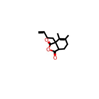 C=CCCC12C(=O)OC(=O)C1CCC(C)=C2C